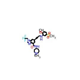 COc1ccc(S(C)(=O)=O)cc1NCC#Cc1cc(C(=O)N[C@@H]2CCCN(C)CC2)c2ncn(CC(F)(F)F)c2c1